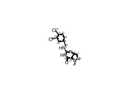 Cn1ncc2nc(NCc3ccc(Cl)c(Cl)c3)[nH]c(=O)c21